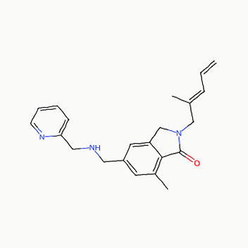 C=C/C=C(\C)CN1Cc2cc(CNCc3ccccn3)cc(C)c2C1=O